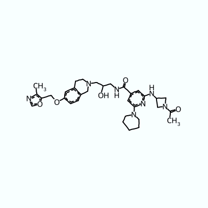 CC(=O)N1CC(Nc2cc(C(=O)NCC(O)CN3CCc4cc(OCc5ocnc5C)ccc4C3)cc(N3CCCCC3)n2)C1